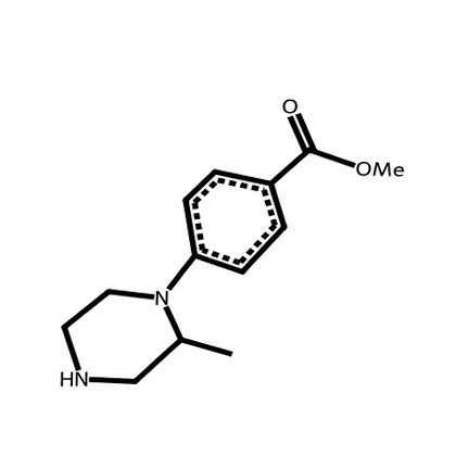 COC(=O)c1ccc(N2CCNCC2C)cc1